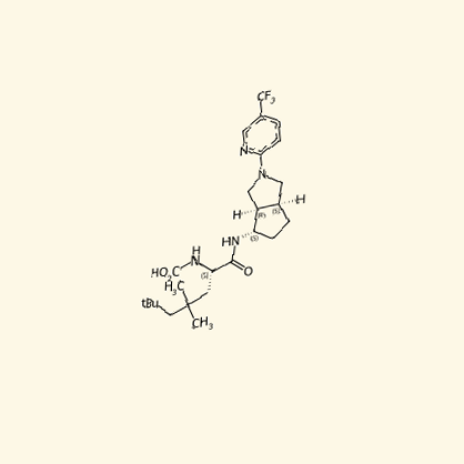 CC(C)(C)CC(C)(C)C[C@H](NC(=O)O)C(=O)N[C@H]1CC[C@@H]2CN(c3ccc(C(F)(F)F)cn3)C[C@@H]21